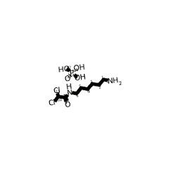 NCCCCCCNC(=O)C(Cl)Cl.O=P(O)(O)O